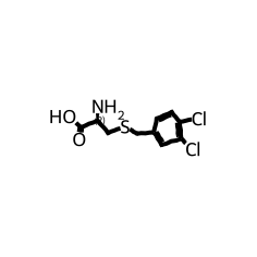 N[C@@H](CSCc1ccc(Cl)c(Cl)c1)C(=O)O